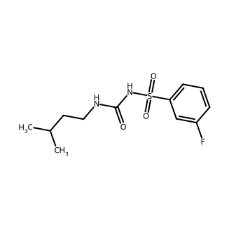 CC(C)CCNC(=O)NS(=O)(=O)c1cccc(F)c1